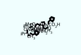 CC[C@H](C)C([C@@H](CC(=O)N1CCC[C@H]1[C@H](OC)[C@@H](C)C(=O)N[C@@H](Cc1ccccc1)C(=O)O)OC)N(C)C(=O)[C@@H](NC(=O)[C@H](C(C)C)N(C)CCc1ccc(N)cc1)C(C)C